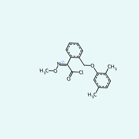 CO/N=C(\C(=O)Cl)c1ccccc1COc1cc(C)ccc1C